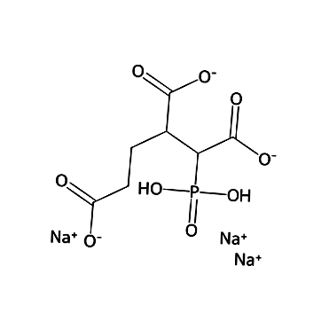 O=C([O-])CCC(C(=O)[O-])C(C(=O)[O-])P(=O)(O)O.[Na+].[Na+].[Na+]